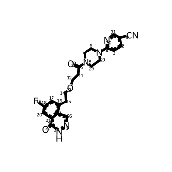 N#Cc1ccc(N2CCN(C(=O)CCOCCc3cc(F)cc4c(=O)[nH]ncc34)CC2)nc1